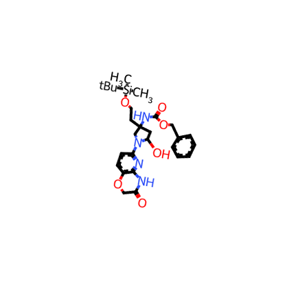 CC(C)(C)[Si](C)(C)OCCC1(NC(=O)OCc2ccccc2)CC(O)N(c2ccc3c(n2)NC(=O)CO3)C1